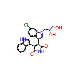 O=C1NC(=O)C(c2cn(CC(O)CO)c3cc(Cl)ccc23)=C1c1c[nH]c2ccccc12